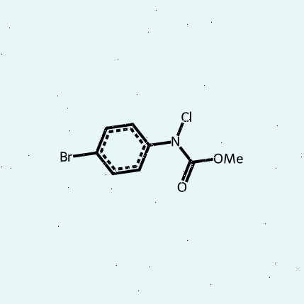 COC(=O)N(Cl)c1ccc(Br)cc1